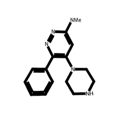 CNc1cc(N2CCNCC2)c(C2=CC=C=C=C2)nn1